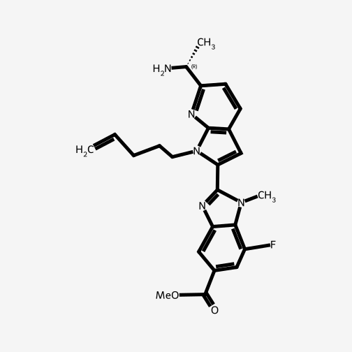 C=CCCCn1c(-c2nc3cc(C(=O)OC)cc(F)c3n2C)cc2ccc([C@@H](C)N)nc21